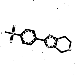 CS(=O)(=O)c1ccc(-c2nc3c(s2)CNCC3)cc1